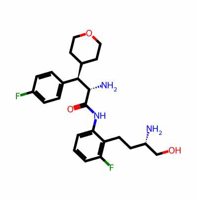 N[C@H](CO)CCc1c(F)cccc1NC(=O)[C@@H](N)[C@@H](c1ccc(F)cc1)C1CCOCC1